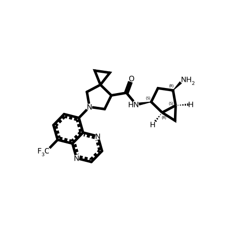 N[C@@H]1C[C@H](NC(=O)C2CN(c3ccc(C(F)(F)F)c4nccnc34)CC23CC3)[C@@H]2C[C@@H]21